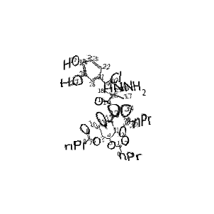 CCCC(=O)O[C@H]1[C@H](OC(=O)CCC)COC(OC(=O)[C@](C)(CC(Cl)c2ccc(O)c(O)c2)NN)[C@@H]1OC(=O)CCC